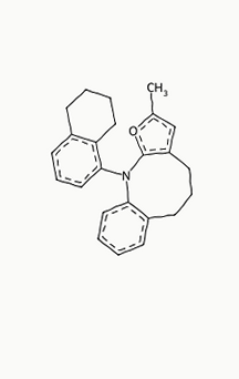 Cc1cc2c(o1)N(c1cccc3c1CCCC3)c1ccccc1CCC2